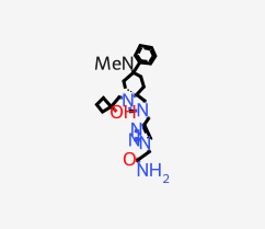 CN[C@]1(c2ccccc2)CC[C@]2(CC1)CN(Cc1cn(CC(N)=O)nn1)CN2CC1(O)CCC1